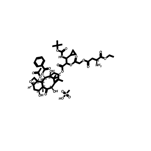 CCOC(=O)[C@@H](N)CC(=O)OCC(=O)OC(C(=O)O[C@H]1C[C@@]2(O)[C@@H](OC(=O)c3ccccc3)[C@@H]3[C@]4(OC(C)=O)CO[C@@H]4C[C@H](O)[C@@]3(C)C(=O)[C@H](O)C(=C1C)C2(C)C)C(NC(=O)OC(C)(C)C)C1CC1.CS(=O)(=O)O